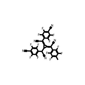 Cc1c(F)c(F)c(/C(C#N)=C2/C(=C(/C#N)c3c(F)c(F)c(C#N)c(F)c3F)C2C(C#N)c2c(F)c(F)c(C#N)c(F)c2F)c(F)c1F